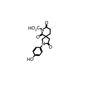 O=C(O)N1C(=O)CCC2(CC(=O)N(c3ccc(O)cc3)C2)C1=O